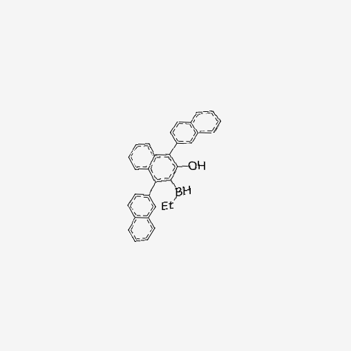 CCBc1c(O)c(-c2ccc3ccccc3c2)c2ccccc2c1-c1ccc2ccccc2c1